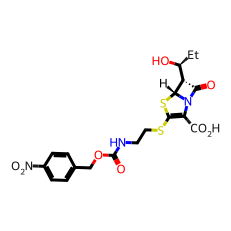 CC[C@H](O)[C@@H]1C(=O)N2C(C(=O)O)=C(SCCNC(=O)OCc3ccc([N+](=O)[O-])cc3)S[C@H]12